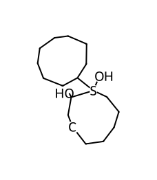 OC1CCCCCCCS1(O)C1CCCCCCCC1